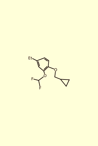 CCc1ccc(OCC2CC2)c(OC(F)F)c1